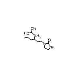 CCCC(CCN1CCNC1=O)[SiH2]C(O)O